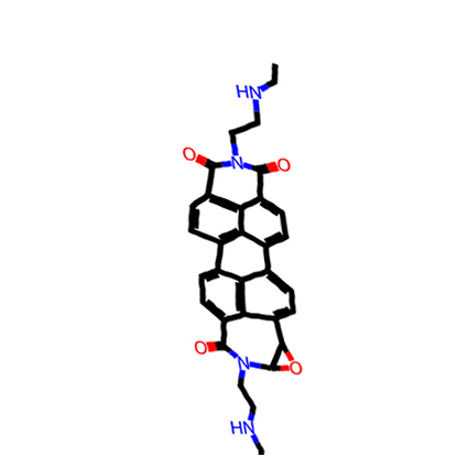 CCNCCN1C(=O)c2ccc3c4ccc5c6c(ccc(c7ccc(c2c37)C1=O)c64)C1OC1N(CCNCC)C5=O